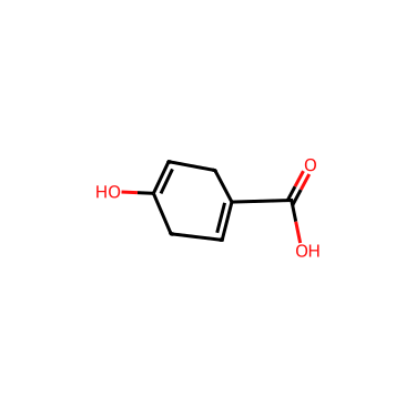 O=C(O)C1=CCC(O)=CC1